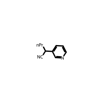 CCCC(C#N)c1cccnc1